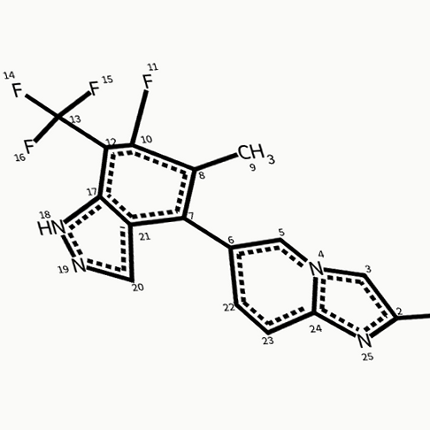 CNc1cn2cc(-c3c(C)c(F)c(C(F)(F)F)c4[nH]ncc34)ccc2n1